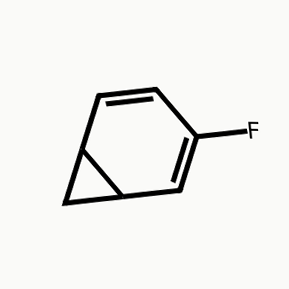 FC1=CC2CC2C=C1